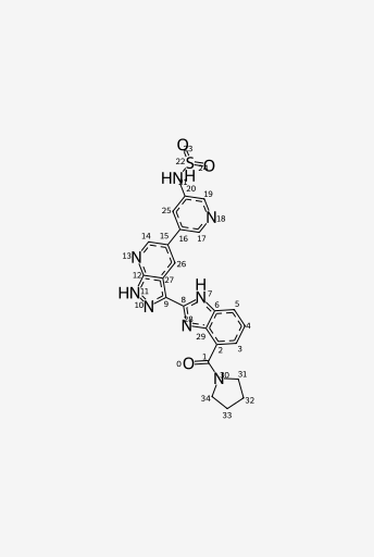 O=C(c1cccc2[nH]c(-c3n[nH]c4ncc(-c5cncc(N[SH](=O)=O)c5)cc34)nc12)N1CCCC1